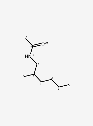 CCCCC(C)CNC(C)=O